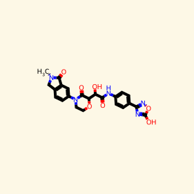 CN1Cc2ccc(N3CCOC(C(O)C(=O)Nc4ccc(-c5noc(O)n5)cc4)C3=O)cc2C1=O